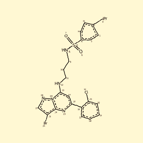 CC(C)c1ccc(S(=O)(=O)NCCCNc2cc(-c3ccccc3Cl)nc3c(Br)cnn23)cc1